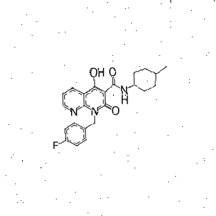 CC1CCC(NC(=O)c2c(O)c3cccnc3n(Cc3ccc(F)cc3)c2=O)CC1